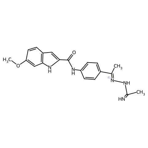 COc1ccc2cc(C(=O)Nc3ccc(/C(C)=N/NC(C)=N)cc3)[nH]c2c1